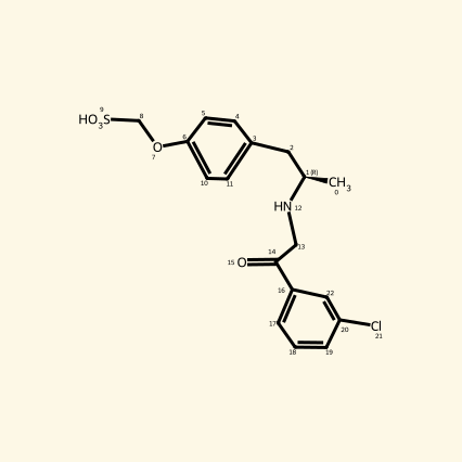 C[C@H](Cc1ccc(OCS(=O)(=O)O)cc1)NCC(=O)c1cccc(Cl)c1